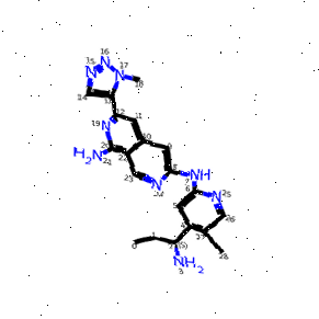 CC[C@H](N)c1cc(Nc2cc3cc(-c4cnnn4C)nc(N)c3cn2)ncc1C